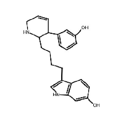 Oc1cccc(C2C=CCNC2CCCCc2c[nH]c3cc(O)ccc23)c1